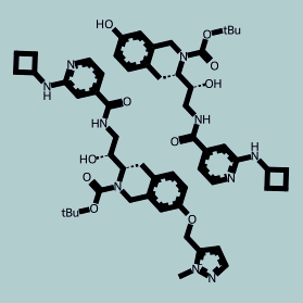 CC(C)(C)OC(=O)N1Cc2cc(O)ccc2C[C@H]1[C@H](O)CNC(=O)c1ccnc(NC2CCC2)c1.Cn1nccc1COc1ccc2c(c1)CN(C(=O)OC(C)(C)C)[C@H]([C@H](O)CNC(=O)c1ccnc(NC3CCC3)c1)C2